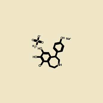 CS(=O)(=O)[O-].Oc1ccc(C2CNCCc3c2cc(O)c(O)c3Cl)cc1.[Na+]